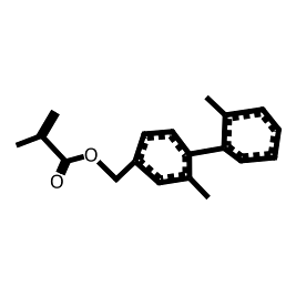 C=C(C)C(=O)OCc1ccc(-c2ccccc2C)c(C)c1